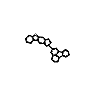 c1ccc2c(c1)-c1cccc3cc(-c4ccc5cc6sc7ccccc7c6cc5c4)cc-2c13